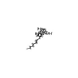 CCCCCCCCc1ccc(CN2NCCC2(N)CO)cc1